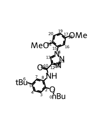 CCCCOc1ccc(C(C)(C)C)cc1NC(=O)c1cn(-c2cc(OC)ccc2OC)nn1